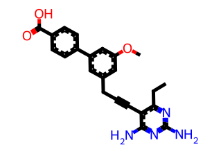 CCc1nc(N)nc(N)c1C#CCc1cc(OC)cc(-c2ccc(C(=O)O)cc2)c1